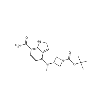 CN(C1CN(C(=O)OC(C)(C)C)C1)N1C=CC(C(N)=O)=C2NCC=C21